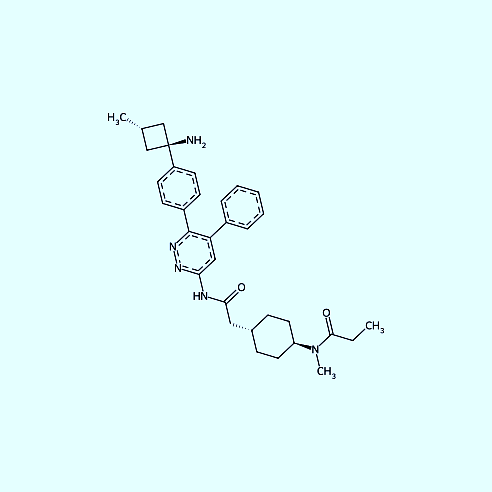 CCC(=O)N(C)[C@H]1CC[C@H](CC(=O)Nc2cc(-c3ccccc3)c(-c3ccc([C@]4(N)C[C@H](C)C4)cc3)nn2)CC1